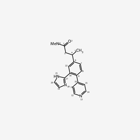 CNC(=O)CC(C)c1ccc(-c2ccncc2)c(-c2ncc[nH]2)c1